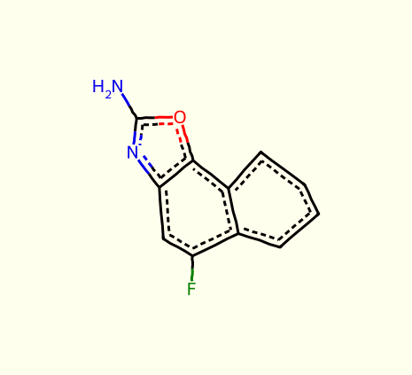 Nc1nc2cc(F)c3ccccc3c2o1